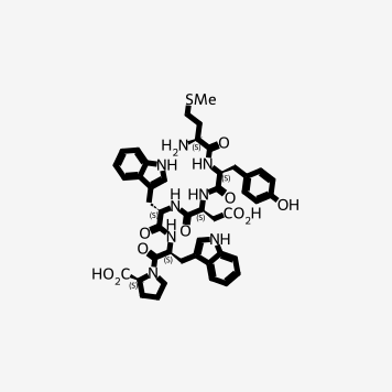 CSCC[C@H](N)C(=O)N[C@@H](Cc1ccc(O)cc1)C(=O)N[C@@H](CC(=O)O)C(=O)N[C@@H](Cc1c[nH]c2ccccc12)C(=O)N[C@@H](Cc1c[nH]c2ccccc12)C(=O)N1CCC[C@H]1C(=O)O